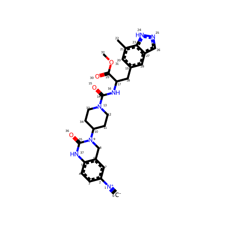 [C-]#[N+]c1ccc2c(c1)CN(C1CCN(C(=O)NC(Cc3cc(C)c4[nH]ncc4c3)C(=O)OC)CC1)C(=O)N2